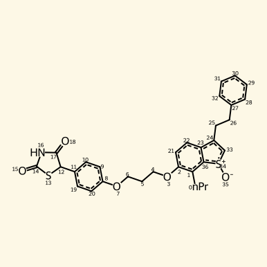 CCCc1c(OCCCOc2ccc(C3SC(=O)NC3=O)cc2)ccc2c(CCc3ccccc3)c[s+]([O-])c12